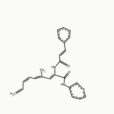 C=C\C=C/C=C(C)/C=C(\NC(=O)/C=C/c1ccccc1)C(=O)Nc1cccnc1